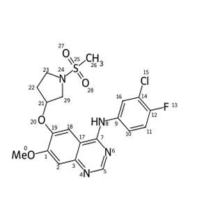 COc1cc2ncnc(Nc3ccc(F)c(Cl)c3)c2cc1OC1CCN(S(C)(=O)=O)C1